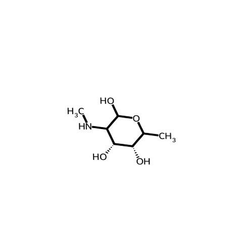 CNC1C(O)OC(C)[C@H](O)[C@@H]1O